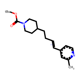 Cc1cc(/C=C/CCC2CCN(C(=O)OC(C)(C)C)CC2)ccn1